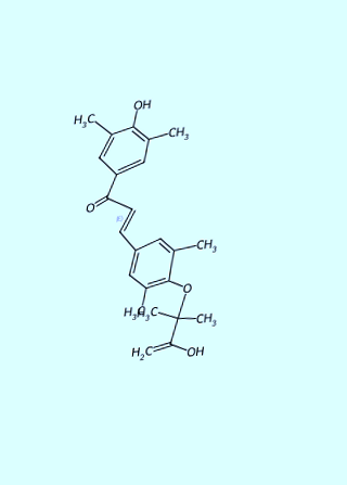 C=C(O)C(C)(C)Oc1c(C)cc(/C=C/C(=O)c2cc(C)c(O)c(C)c2)cc1C